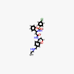 CC(C)CCNCc1ccc2c(c1)OCCC2NC(=O)CC(NS(=O)(=O)c1ccc(Cl)cc1)c1ccccc1